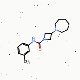 Cc1cccc(NC(=O)N2CC(N3CCCCCC3)C2)c1